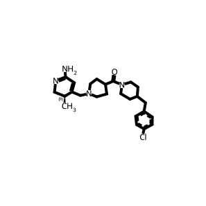 C[C@H]1CN=C(N)C=C1CN1CCC(C(=O)N2CCC(Cc3ccc(Cl)cc3)CC2)CC1